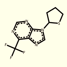 FC(F)(F)c1ncnc2c1ncn2C1CCCS1